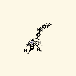 CCC(C)Oc1ccc(C)cc1N1C(=O)CS/C1=N\C(=O)OCC(F)c1ccc(-c2ncn(-c3ccc(OC(F)(F)F)cc3)n2)cc1